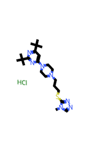 Cl.Cn1cnnc1SCCCN1CCN(c2cc(C(C)(C)C)nc(C(C)(C)C)n2)CC1